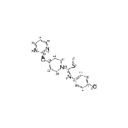 CSC(=Nc1ccc(Cl)cc1)N1CCC(Oc2ncccn2)CC1